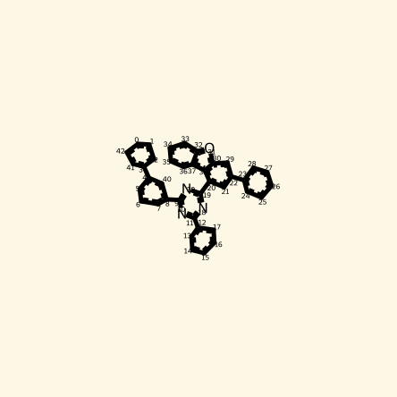 c1ccc(-c2cccc(-c3nc(-c4ccccc4)nc(-c4cc(-c5ccccc5)cc5oc6ccccc6c45)n3)c2)cc1